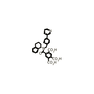 O=C(O)c1cc(C(=O)O)c(C(=O)N(Cc2ccc(-c3cccnc3)cc2)[C@H]2CCCc3ccccc32)cc1C(=O)O